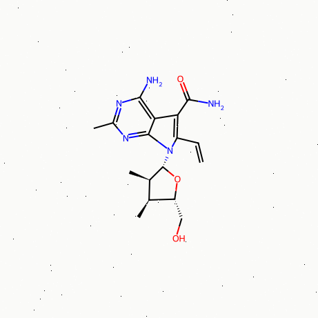 C=Cc1c(C(N)=O)c2c(N)nc(C)nc2n1[C@@H]1O[C@H](CO)[C@@H](C)[C@H]1C